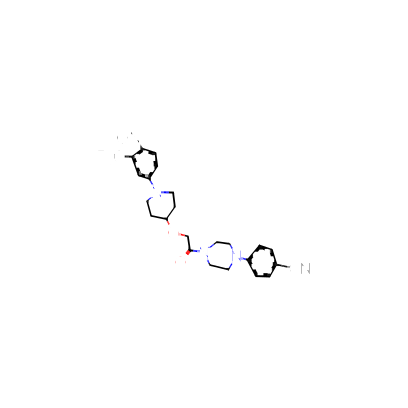 N#Cc1ccc(N2CCN(C(=O)COC3CCN(c4ccc(N=O)c(C(F)(F)F)c4)CC3)CC2)cc1